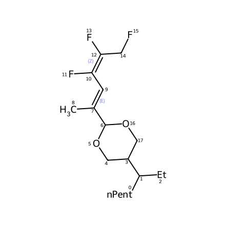 CCCCCC(CC)C1COC(/C(C)=C/C(F)=C(/F)CF)OC1